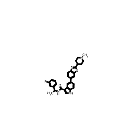 CC(NC(=O)c1c[nH]c2ccc(-c3ccc4nc(C5CCN(C)CC5)sc4c3)cc12)c1cccc(F)c1